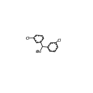 CCC(C)C(c1cccc(Cl)c1)c1cccc(Cl)c1